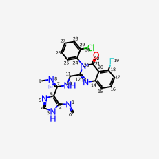 C=Nc1[nH]cnc1/C(=N\C)NCc1nc2cccc(F)c2c(=O)n1-c1ccccc1Cl